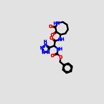 O=C(NC(C(=O)NC1CCCCNC(=O)C1=O)c1nnn[nH]1)OCc1ccccc1